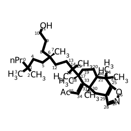 CCCC(C)(C)CC[C@](C)(CCCO)CCC(C)(C)[C@]1(C)CC[C@H]2C(C)(C)c3oncc3C[C@]2(C)/C1=C/C(C)=O